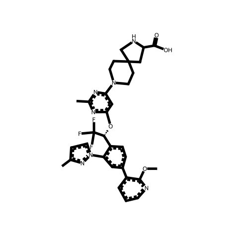 COc1ncccc1-c1ccc([C@@H](Oc2cc(N3CCC4(CC3)CNC(C(=O)O)C4)nc(C)n2)C(F)(F)F)c(-n2ccc(C)n2)c1